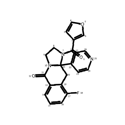 O=C(c1ccoc1)N1CCN2C(=O)c3cccc(F)c3CC12c1ccncc1